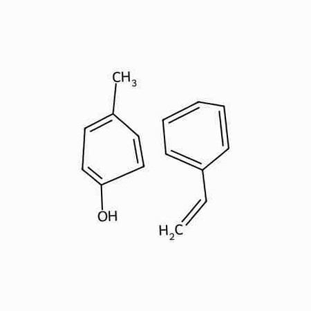 C=Cc1ccccc1.Cc1ccc(O)cc1